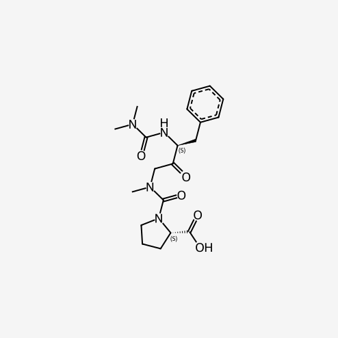 CN(C)C(=O)N[C@@H](Cc1ccccc1)C(=O)CN(C)C(=O)N1CCC[C@H]1C(=O)O